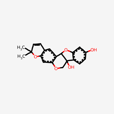 CC1(C)C=Cc2cc3c(cc2O1)OCC1(O)c2ccc(O)cc2OC31